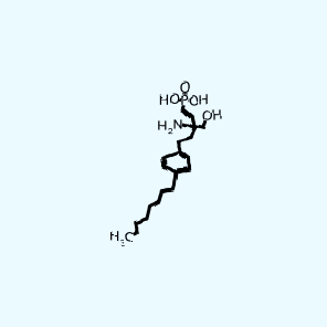 CCCCCCCCc1ccc(CCC(N)(C=CP(=O)(O)O)CO)cc1